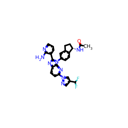 CC(=O)N[C@H]1CCc2cc(-n3c(-c4cccnc4N)nc4ccc(-n5cc(C(F)F)cn5)nc43)ccc21